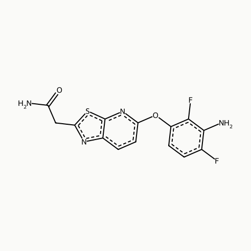 NC(=O)Cc1nc2ccc(Oc3ccc(F)c(N)c3F)nc2s1